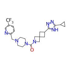 O=C(N1CCN(Cc2ccc(C(F)(F)F)cn2)CC1)N1CC2(CC(c3nnc(C4CC4)[nH]3)C2)C1